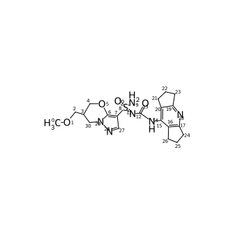 COCC1COc2c(S(N)(=O)=NC(=O)Nc3c4c(nc5c3CCC5)CCC4)cnn2C1